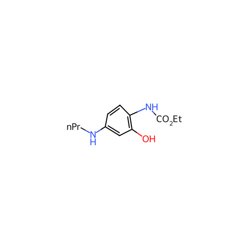 CCCNc1ccc(NC(=O)OCC)c(O)c1